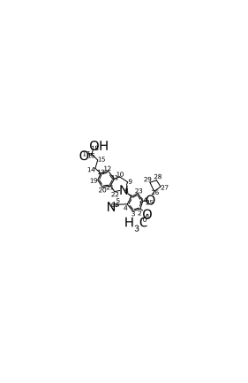 COc1cc(C#N)c(N2CCc3cc(CCC(=O)O)ccc3C2)cc1OC1CCC1